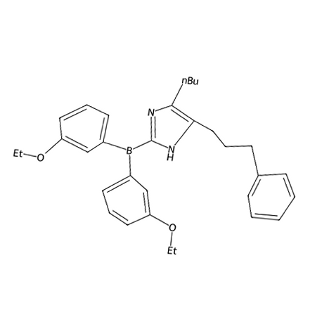 CCCCc1nc(B(c2cccc(OCC)c2)c2cccc(OCC)c2)[nH]c1CCCc1ccccc1